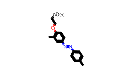 CCCCCCCCCCCCOc1ccc(/N=N/c2ccc(C)cc2)cc1C